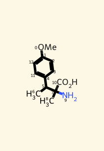 COc1ccc(C(C)C(C)(N)C(=O)O)cc1